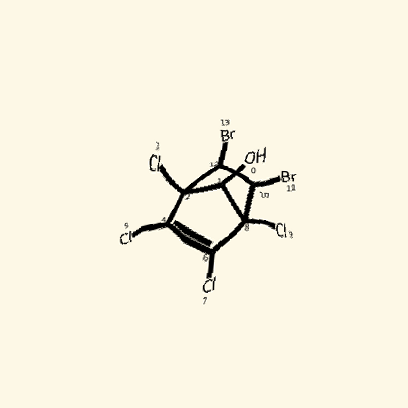 OC1C2(Cl)C(Cl)=C(Cl)C1(Cl)C(Br)C2Br